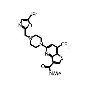 CNC(=O)c1csc2c(C(F)(F)F)cc(N3CCN(Cc4ncc(C(C)C)o4)CC3)nc12